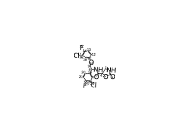 O=C1NCC(C(=O)NC(COc2ccc(F)c(Cl)c2)c2ccc(F)c(Cl)c2)O1